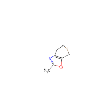 Cc1nc2c(o1)CSCC2